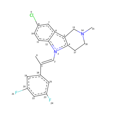 C/C(=C\n1c2c(c3cc(Cl)ccc31)CN(C)CC2)c1cc(F)cc(F)c1